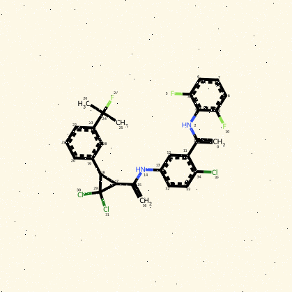 C=C(Nc1c(F)cccc1F)c1cc(NC(=C)C2C(c3cccc(C(C)(C)F)c3)C2(Cl)Cl)ccc1Cl